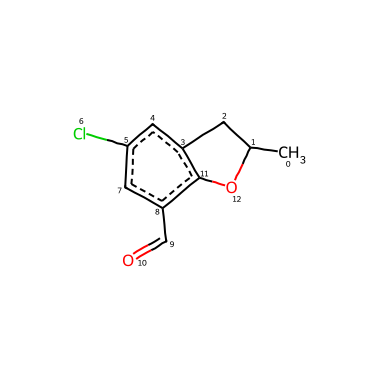 CC1Cc2cc(Cl)cc(C=O)c2O1